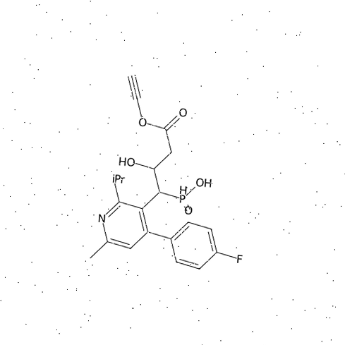 C#COC(=O)CC(O)C(c1c(-c2ccc(F)cc2)cc(C)nc1C(C)C)[PH](=O)O